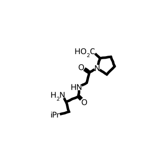 CC(C)CC(N)C(=O)NCC(=O)N1CCCC1C(=O)O